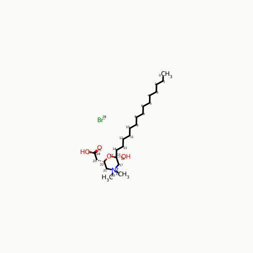 CCCCCCCCCCCCCCC[C@@]1(O)C[N+](C)(C)C[C@H](CC(=O)O)O1.[Br-]